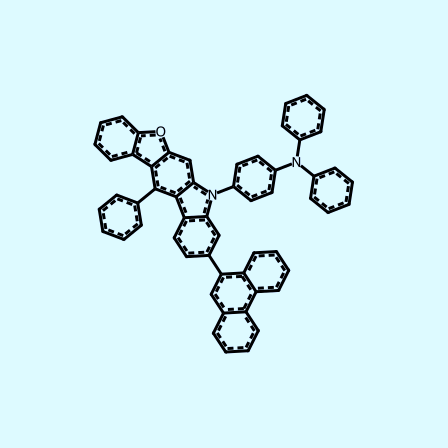 c1ccc(-c2c3c(cc4c2c2ccc(-c5cc6ccccc6c6ccccc56)cc2n4-c2ccc(N(c4ccccc4)c4ccccc4)cc2)oc2ccccc23)cc1